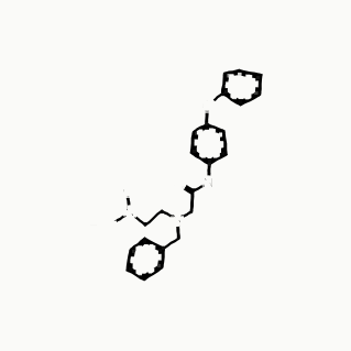 CN(C)CCN(CC(=O)Nc1ccc(Oc2ccccc2)cc1)Cc1ccccc1